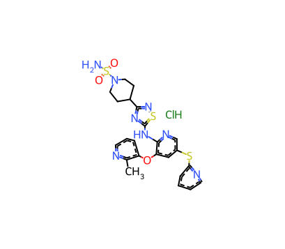 Cc1ncccc1Oc1cc(Sc2ccccn2)cnc1Nc1nc(C2CCN(S(N)(=O)=O)CC2)ns1.Cl